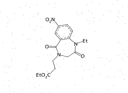 CCOC(=O)CCN1CC(=O)N(CC)c2ccc([N+](=O)[O-])cc2C1=O